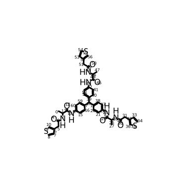 CC(NC(=O)Cc1ccsc1)C(=O)Nc1ccc(C(c2ccc(NC(=O)C(C)NC(=O)Cc3ccsc3)cc2)c2ccc(NC(=O)C(C)NC(=O)Cc3ccsc3)cc2)cc1